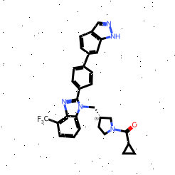 O=C(C1CC1)N1CC[C@H](Cn2c(-c3ccc(-c4ccc5cn[nH]c5c4)cc3)nc3c(C(F)(F)F)cccc32)C1